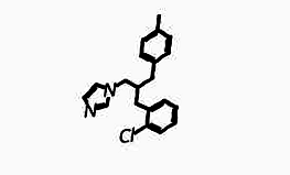 Cc1ccc(CC(Cc2ccccc2Cl)Cn2ccnc2)cc1